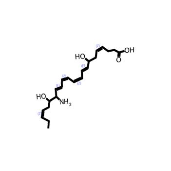 CC/C=C\CC(O)C(N)/C=C/C=C\C=C/C=C/C(O)C/C=C\CCC(=O)O